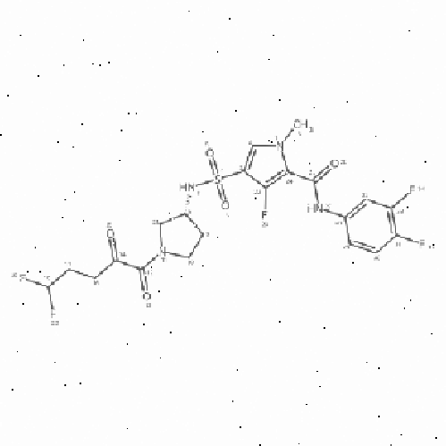 Cn1cc(S(=O)(=O)N[C@@H]2CCN(C(=O)C(=O)CCC(F)F)C2)c(F)c1C(=O)Nc1ccc(F)c(F)c1